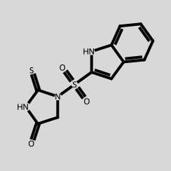 O=C1CN(S(=O)(=O)c2cc3ccccc3[nH]2)C(=S)N1